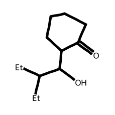 CCC(CC)C(O)C1CCCCC1=O